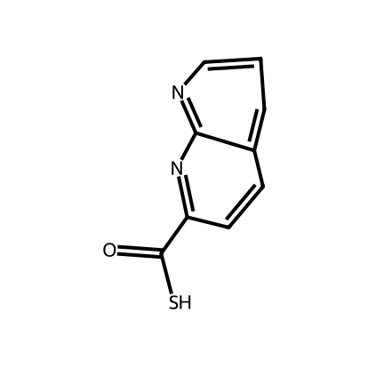 O=C(S)c1ccc2cccnc2n1